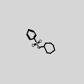 O=S(=O)([N]C1CCCCCC1)c1ccccc1